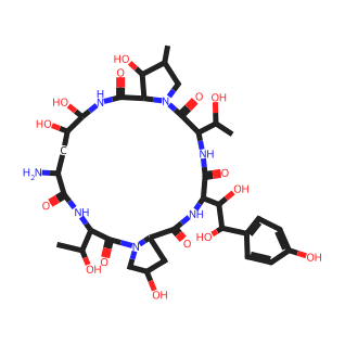 CC(O)C1NC(=O)C(N)CC(O)C(O)NC(=O)C2C(O)C(C)CN2C(=O)C(C(C)O)NC(=O)C(C(O)C(O)c2ccc(O)cc2)NC(=O)C2CC(O)CN2C1=O